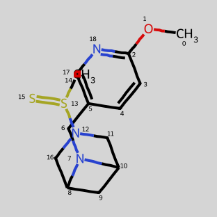 COc1ccc(CN2C3CC2CN(S(C)=S)C3)cn1